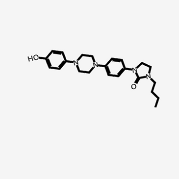 CCCCN1CCN(c2ccc(N3CCN(c4ccc(O)cc4)CC3)cc2)C1=O